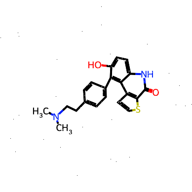 CN(C)CCc1ccc(-c2c(O)ccc3[nH]c(=O)c4sccc4c23)cc1